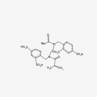 C=C(C)C(=O)N(CCN(Cc1ccc(S(=O)(=O)O)cc1S(=O)(=O)O)C(=O)C(C)(C)C)Cc1ccc(S(=O)(=O)O)cc1S(=O)(=O)O